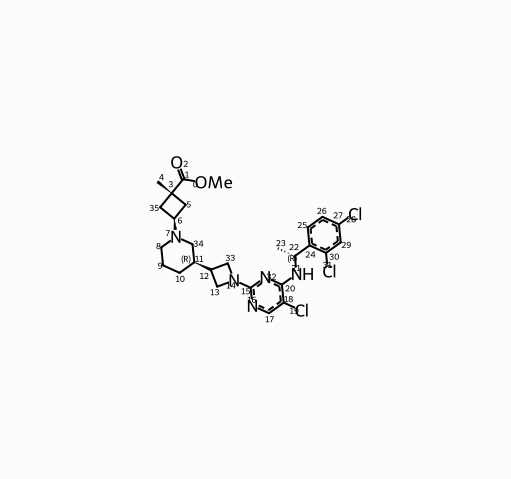 COC(=O)[C@]1(C)C[C@@H](N2CCC[C@H](C3CN(c4ncc(Cl)c(N[C@H](C)c5ccc(Cl)cc5Cl)n4)C3)C2)C1